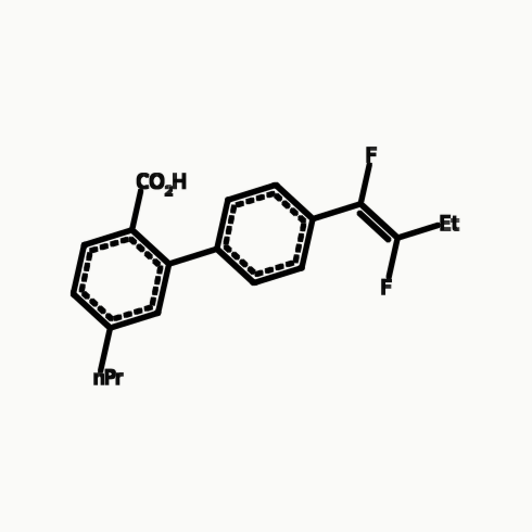 CCCc1ccc(C(=O)O)c(-c2ccc(/C(F)=C(\F)CC)cc2)c1